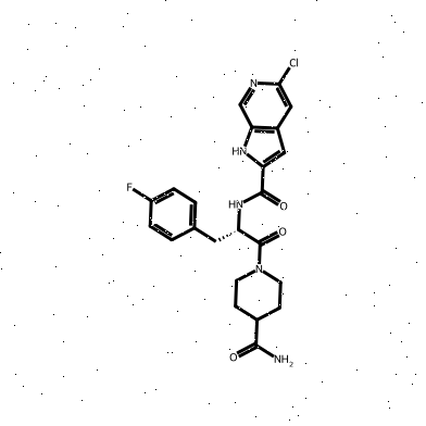 NC(=O)C1CCN(C(=O)[C@H](Cc2ccc(F)cc2)NC(=O)c2cc3cc(Cl)ncc3[nH]2)CC1